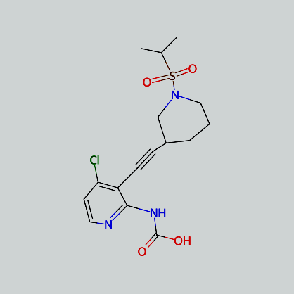 CC(C)S(=O)(=O)N1CCCC(C#Cc2c(Cl)ccnc2NC(=O)O)C1